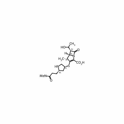 CNC(=O)CC[C@@H]1C[C@H](SC2=C(C(=O)O)N3C(=O)[C@H](C(C)O)[C@H]3[C@H]2C)CN1